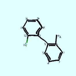 Cc1ccc[c]c1-c1ccccc1F